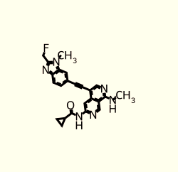 CNc1ncc(C#Cc2ccc3nc(CF)n(C)c3c2)c2cc(NC(=O)C3CC3)ncc12